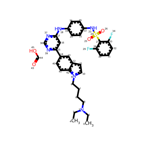 CCN(CC)CCCCn1ccc2cc(-c3cc(Nc4ccc(NS(=O)(=O)c5c(F)cccc5F)cc4)ncn3)ccc21.O=CO